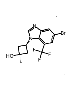 C[C@]1(O)C[C@@H](n2cnc3cc(Br)cc(C(F)(F)F)c32)C1